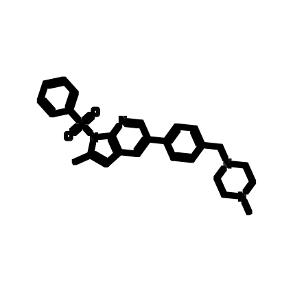 Cc1cc2cc(-c3ccc(CN4CCN(C)CC4)cc3)cnc2n1S(=O)(=O)c1ccccc1